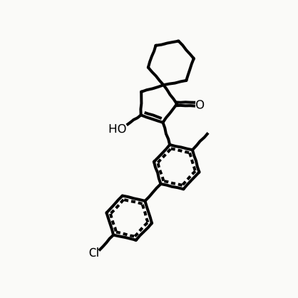 Cc1ccc(-c2ccc(Cl)cc2)cc1C1=C(O)CC2(CCCCC2)C1=O